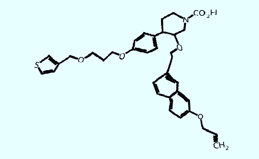 C=CCOc1ccc2ccc(COC3CN(C(=O)O)CCC3c3ccc(OCCCOCc4ccsc4)cc3)cc2c1